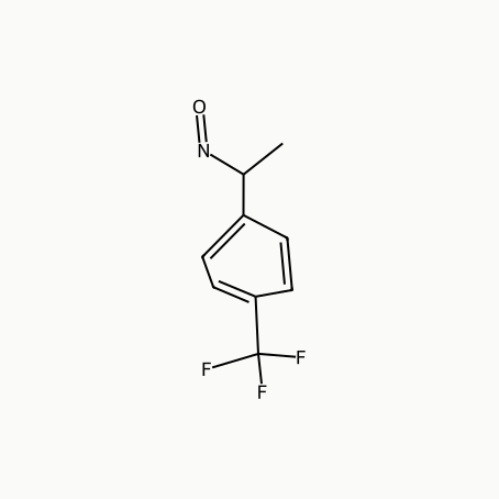 CC(N=O)c1ccc(C(F)(F)F)cc1